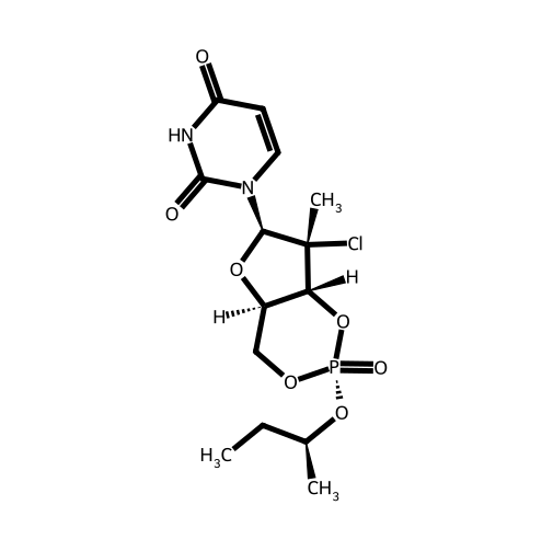 CC[C@H](C)O[P@]1(=O)OC[C@H]2O[C@@H](n3ccc(=O)[nH]c3=O)[C@](C)(Cl)[C@@H]2O1